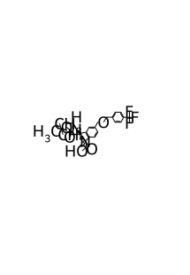 CC(C)(C)OC(=O)Nc1cn(C(=O)O)c2ccc(COCc3ccc(C(F)(F)F)cc3)cc12